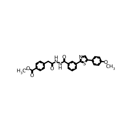 COC(=O)c1ccc(CC(=O)NNC(=O)c2cccc(-c3ncc(-c4ccc(OC)cc4)s3)c2)cc1